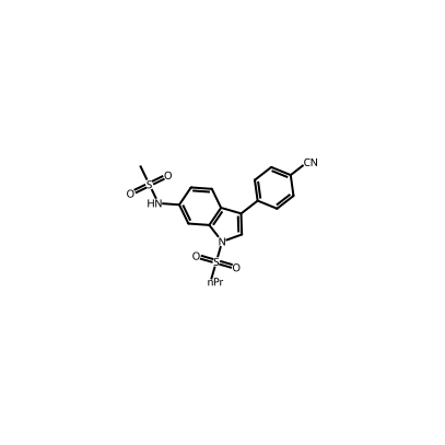 CCCS(=O)(=O)n1cc(-c2ccc(C#N)cc2)c2ccc(NS(C)(=O)=O)cc21